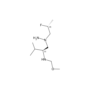 COCN[C@H](CN(N)C[C@@H](C)F)C(C)C